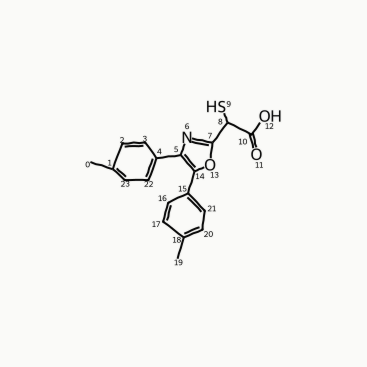 Cc1ccc(-c2nc(C(S)C(=O)O)oc2-c2ccc(C)cc2)cc1